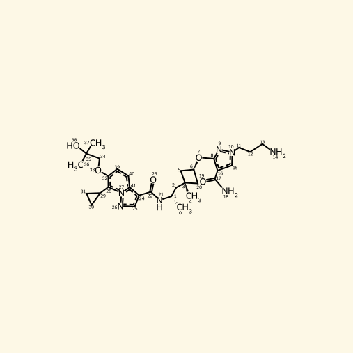 C[C@@H](C[C@]1(C)C[C@@H](Oc2nn(CCCN)cc2C(N)=O)C1)NC(=O)c1cnn2c(C3CC3)c(OCC(C)(C)O)ccc12